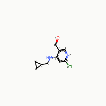 O=Cc1cnc(Cl)cc1NCC1CC1